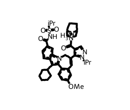 COc1ccc2c(c1)C=C(c1c(C(=O)N3CC4CCC(C3)N4C)cnn1C(C)C)Cn1c-2c(C2CCCCC2)c2ccc(C(=O)NS(=O)(=O)C(C)C)cc21